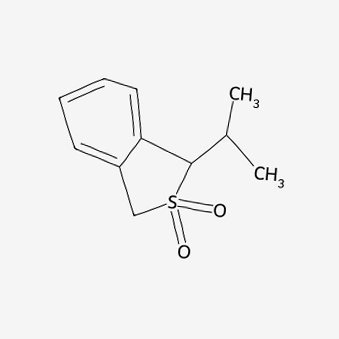 CC(C)C1c2ccccc2CS1(=O)=O